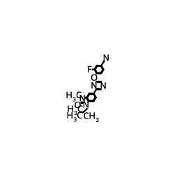 Cn1c(=O)n(CC(C)(C)C)c2ccc(-c3cncc(Oc4ccc(C#N)cc4F)n3)cc21